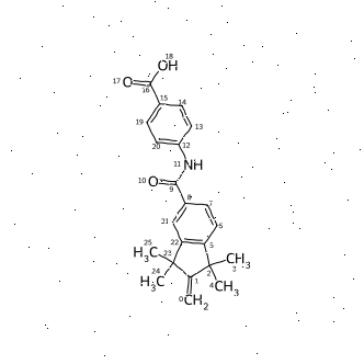 C=C1C(C)(C)c2ccc(C(=O)Nc3ccc(C(=O)O)cc3)cc2C1(C)C